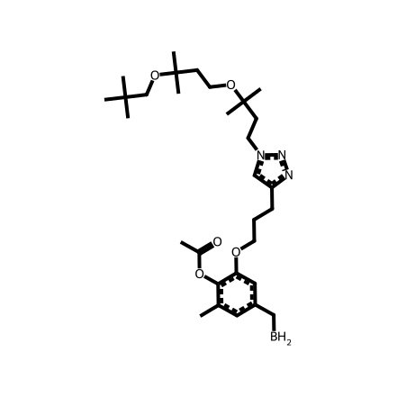 BCc1cc(C)c(OC(C)=O)c(OCCCc2cn(CCC(C)(C)OCCC(C)(C)OCC(C)(C)C)nn2)c1